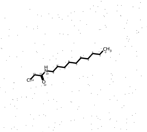 CCCCCCCCCCNC(=O)CCl